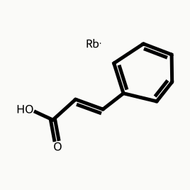 O=C(O)C=Cc1ccccc1.[Rb]